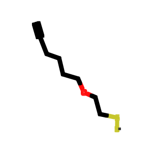 C#CCCCCOCCS[S]